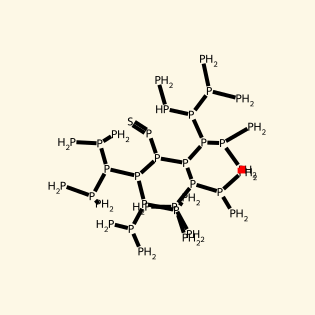 PPP(P(P)P)P(P(P)P)P(P(P=S)P(P(P(P)P)P(P)P)P(P(P)P)P(P)P)P(P(P)P)P(P)P